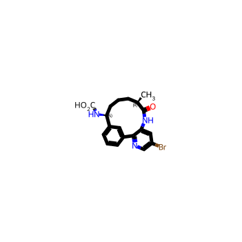 C[C@@H]1CCC[C@H](NC(=O)O)c2cccc(c2)-c2ncc(Br)cc2NC1=O